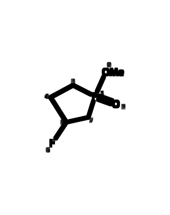 COP1(=O)CCC(F)C1